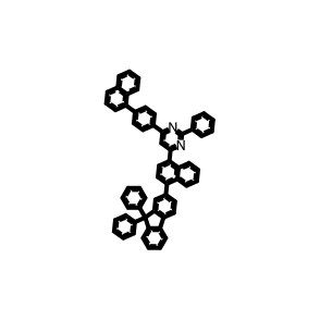 c1ccc(-c2nc(-c3ccc(-c4cccc5ccccc45)cc3)cc(-c3ccc(-c4ccc5c(c4)C(c4ccccc4)(c4ccccc4)c4ccccc4-5)c4ccccc34)n2)cc1